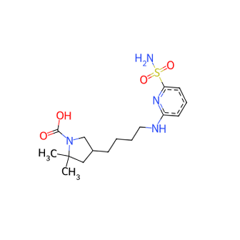 CC1(C)CC(CCCCNc2cccc(S(N)(=O)=O)n2)CN1C(=O)O